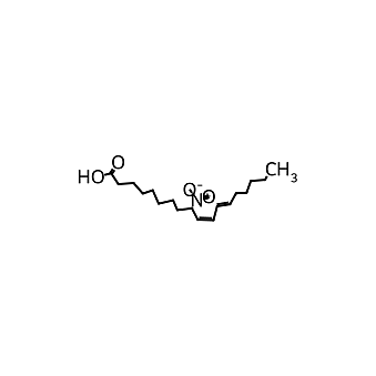 CCCCCC=C/C=C\C(CCCCCCCC(=O)O)[N+](=O)[O-]